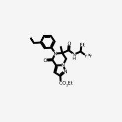 CCCC(CC)NC(=O)C1(C)Cn2nc(C(=O)OCC)cc2C(=O)N1c1cccc(CI)c1